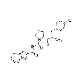 CC[C@H](NC(=O)N1CCC[C@@H]1C(=O)N(C)Cc1ccc(Cl)cc1)c1cc2ccccc2o1